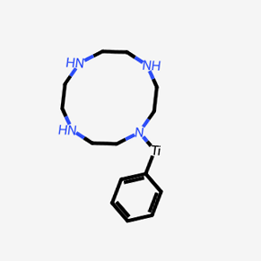 c1cc[c]([Ti][N]2CCNCCNCCNCC2)cc1